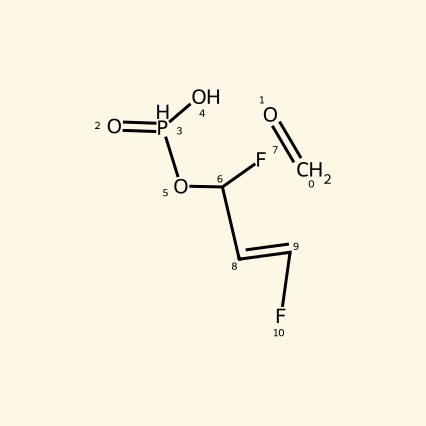 C=O.O=[PH](O)OC(F)C=CF